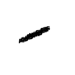 Fc1ccc(-c2cc3sc(-c4nc5cc6cc7sc(-c8cc9sc(-c%10ccc(F)cc%10)cc9s8)nc7cc6cc5s4)cc3s2)cc1